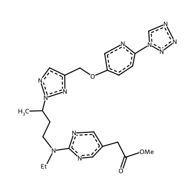 CCN(CCC(C)n1ncc(COc2ccc(-n3cnnn3)nc2)n1)c1ncc(CC(=O)OC)cn1